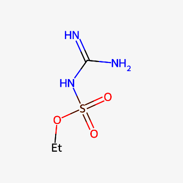 CCOS(=O)(=O)NC(=N)N